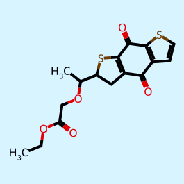 CCOC(=O)COC(C)C1CC2=C(S1)C(=O)c1sccc1C2=O